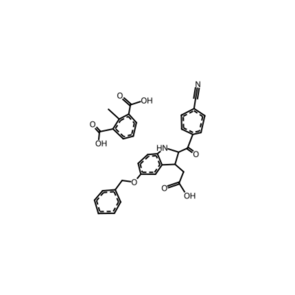 Cc1c(C(=O)O)cccc1C(=O)O.N#Cc1ccc(C(=O)C2Nc3ccc(OCc4ccccc4)cc3C2CC(=O)O)cc1